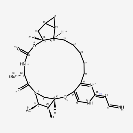 CC(=O)[C@@H]1[C@H](C)[C@@H]2CN1C(=O)[C@H](C(C)(C)C)NC(=O)O[C@@H]1CC3CC3[C@H]1CCCCCC1=N/C(=C/C=N)NC=C1O2